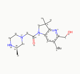 CCCCc1cc2c(nc1CO)C(C)(C)CN2C(=O)CN1CCN[C@H](C)C1